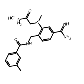 Cc1cccc(C(=O)NCc2ccc(C(=N)N)cc2N(C)CC(N)=O)c1.Cl